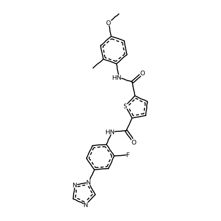 COc1ccc(NC(=O)c2ccc(C(=O)Nc3ccc(-n4cncn4)cc3F)s2)c(C)c1